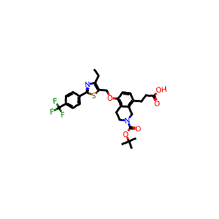 CCc1nc(-c2ccc(C(F)(F)F)cc2)sc1COc1ccc(CCC(=O)O)c2c1CCN(C(=O)OC(C)(C)C)C2